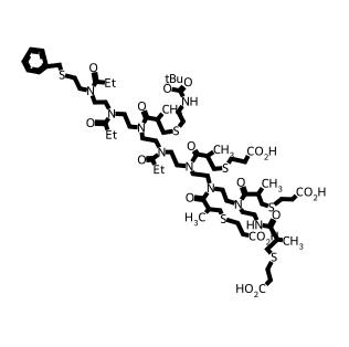 CCC(=O)N(CCSCc1ccccc1)CCN(CCN(CCN(CCN(CCN(CCN(CCNC(=O)C(C)CSCCC(=O)O)C(=O)C(C)CSCCC(=O)O)C(=O)C(C)CSCCC(=O)O)C(=O)C(C)CSCCC(=O)O)C(=O)CC)C(=O)C(C)CSCCNC(=O)OC(C)(C)C)C(=O)CC